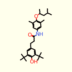 Cc1cc(NC(=O)CCc2cc(C(C)(C)C)c(O)c(C(C)(C)C)c2)cc(C)c1OC(C)CC(C)C